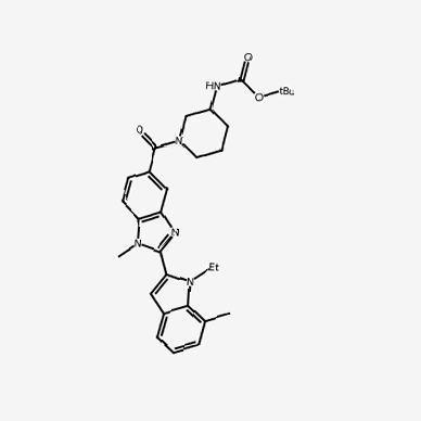 CCn1c(-c2nc3cc(C(=O)N4CCCC(NC(=O)OC(C)(C)C)C4)ccc3n2C)cc2cccc(C)c21